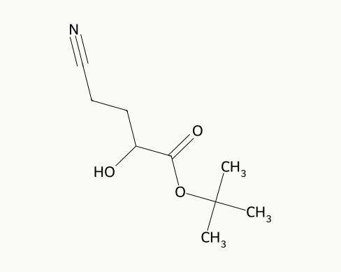 CC(C)(C)OC(=O)C(O)CCC#N